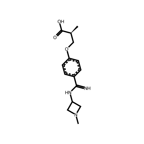 C[C@@H](COc1ccc(C(=N)NC2CN(C)C2)cc1)C(=O)O